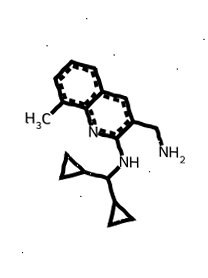 Cc1cccc2cc(CN)c(NC(C3CC3)C3CC3)nc12